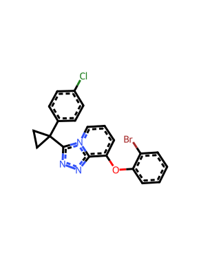 Clc1ccc(C2(c3nnc4c(Oc5ccccc5Br)cccn34)CC2)cc1